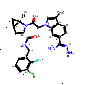 CC(=O)c1cn(CC(=O)N2[C@@H]3CC3C[C@H]2C(=O)NCc2cccc(Cl)c2F)c2cc(/C(N)=N/N)ccc12